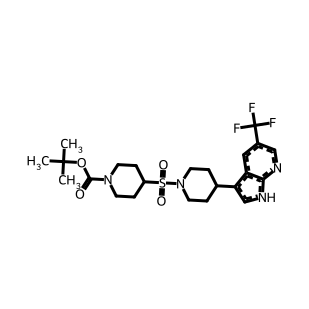 CC(C)(C)OC(=O)N1CCC(S(=O)(=O)N2CCC(c3c[nH]c4ncc(C(F)(F)F)cc34)CC2)CC1